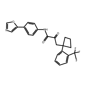 O=C(CC1(c2ccccc2C(F)(F)F)CCC1)C(=O)Nc1ccc(-c2cnco2)cc1